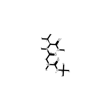 COC(=O)[C@H](C(C)C)N(C)C(=O)CN(C)C(=O)OC(C)(C)C